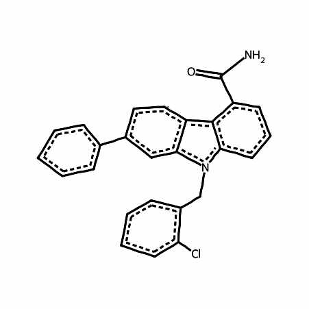 NC(=O)c1cccc2c1c1[c]cc(-c3ccccc3)cc1n2Cc1ccccc1Cl